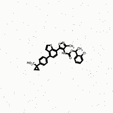 Cc1noc(-c2ccc(-c3ccc(C4(C(=O)O)CC4)cc3)c3ccsc23)c1NC(=O)OC(C)c1ccccc1Cl